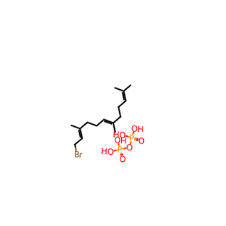 CC(C)=CCCC(C)=CCCC(C)=CCBr.O=P(O)(O)OP(=O)(O)O